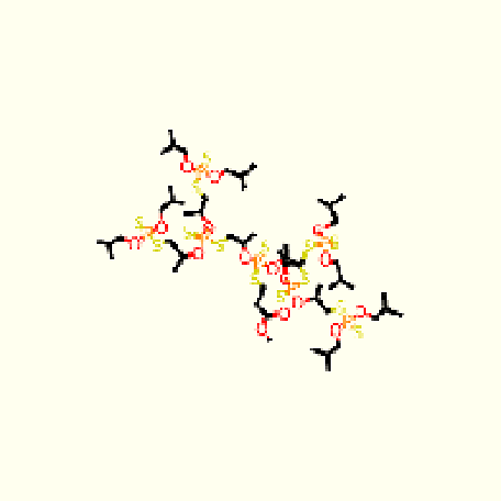 COC(=O)CCSP(=S)(OC(C)CSP(=S)(OC(C)CSP(=S)(OCC(C)C)OCC(C)C)OC(C)CSP(=S)(OCC(C)C)OCC(C)C)OC(C)CSP(=S)(OC(C)CSP(=S)(OCC(C)C)OCC(C)C)OC(C)CSP(=S)(OCC(C)C)OCC(C)C